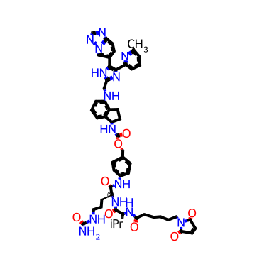 Cc1cccc(-c2nc(CNc3cccc4c3CCC4NC(=O)OCc3ccc(NC(=O)[C@H](CCCNC(N)=O)NC(=O)C(NC(=O)CCCCCN4C(=O)C=CC4=O)C(C)C)cc3)[nH]c2-c2ccc3ncnn3c2)n1